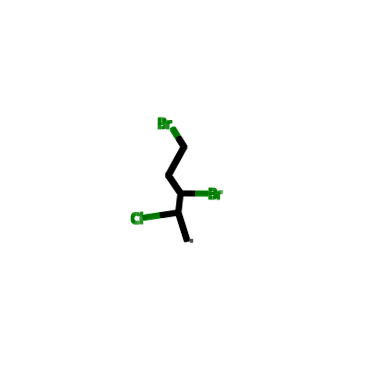 [CH2]C(Cl)C(Br)CCBr